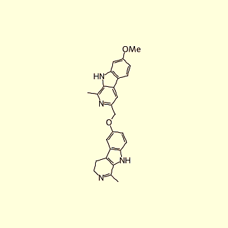 COc1ccc2c(c1)[nH]c1c(C)nc(COc3ccc4[nH]c5c(c4c3)CCN=C5C)cc12